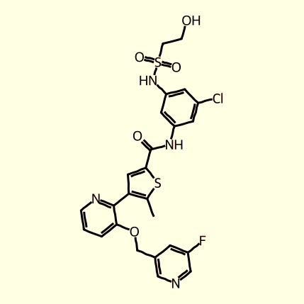 Cc1sc(C(=O)Nc2cc(Cl)cc(NS(=O)(=O)CCO)c2)cc1-c1ncccc1OCc1cncc(F)c1